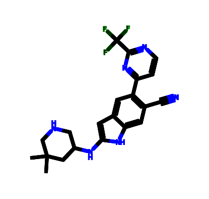 CC1(C)CNCC(Nc2cc3cc(-c4ccnc(C(F)(F)F)n4)c(C#N)cc3[nH]2)C1